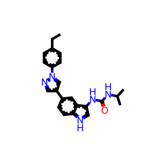 CCc1ccc(-n2cc(-c3ccc4[nH]cc(NC(=O)NC(C)C)c4c3)cn2)cc1